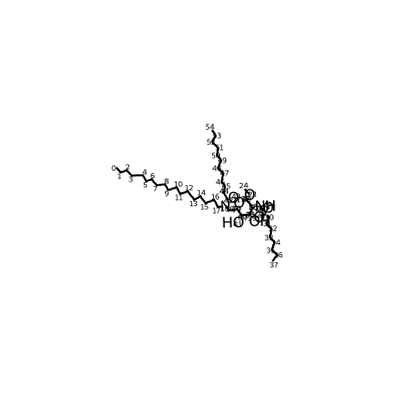 CCCCCCCCCCCCCCCCCCN(C[C@H]1O[C@H](OC)[C@H](NS(=O)(=O)CCCCCCCC)[C@@H](O)[C@@H]1O)C(=O)CCCCCCCCCCC